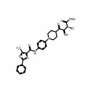 CC[C@@H](C(=N)C(=O)C1CCN(c2ccc(NC(=O)c3nc(-c4ccccc4)oc3C(F)(F)F)cc2)CC1)C(=O)OC